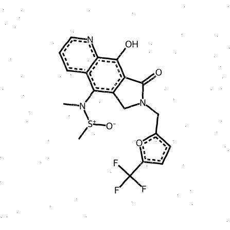 CN(c1c2c(c(O)c3ncccc13)C(=O)N(Cc1ccc(C(F)(F)F)o1)C2)[S+](C)[O-]